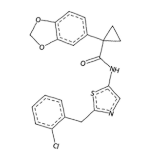 O=C(Nc1cnc(Cc2ccccc2Cl)s1)C1(c2ccc3c(c2)OCO3)CC1